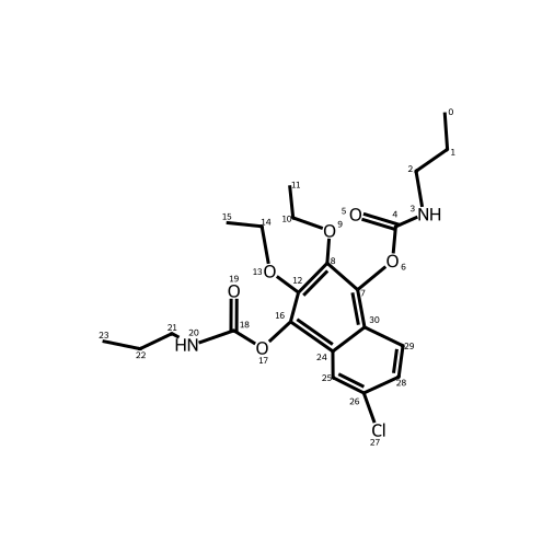 CCCNC(=O)Oc1c(OCC)c(OCC)c(OC(=O)NCCC)c2cc(Cl)ccc12